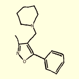 Cc1noc(-c2ccccc2)c1CN1CCCCC1